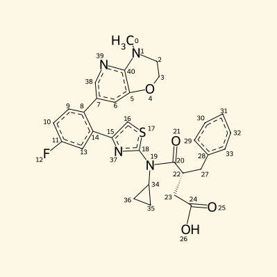 CN1CCOc2cc(-c3ccc(F)cc3-c3csc(N(C(=O)[C@@H](CC(=O)O)Cc4ccccc4)C4CC4)n3)cnc21